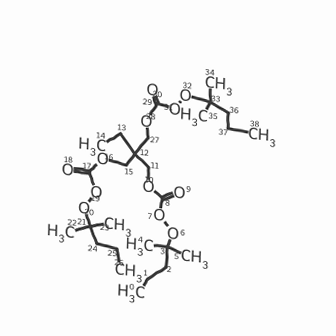 CCCC(C)(C)OOC(=O)OCC(CC)(COC(=O)OOC(C)(C)CCC)COC(=O)OOC(C)(C)CCC